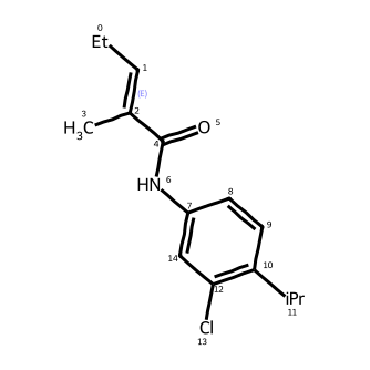 CC/C=C(\C)C(=O)Nc1ccc(C(C)C)c(Cl)c1